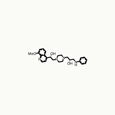 COc1cccc2c([C@H](O)CN3CCN(C[C@@H](O)CNc4ccccc4)CC3)ccnc12